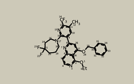 CCOc1nccc2nc(-c3cc(C)c(C(F)(F)F)nc3N3CCCC(F)(F)CC3)cc(OCc3ccccc3)c12